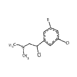 CN(C)CC(Cl)c1cc(F)cc(Cl)c1